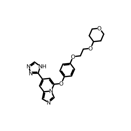 c1nnc(-c2cc(Oc3ccc(OCCOC4CCOCC4)cc3)n3cncc3c2)[nH]1